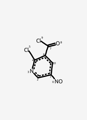 O=Nc1cnc(Cl)c(C(=O)Cl)c1